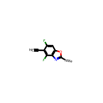 C#Cc1c(F)cc2oc(NC)nc2c1F